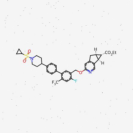 CCOC(=O)[C@H]1[C@@H]2Cc3cc(OCc4cc(-c5ccc(C6CCN(S(=O)(=O)C7CC7)CC6)cc5)c(C(F)(F)F)cc4F)ncc3[C@@H]21